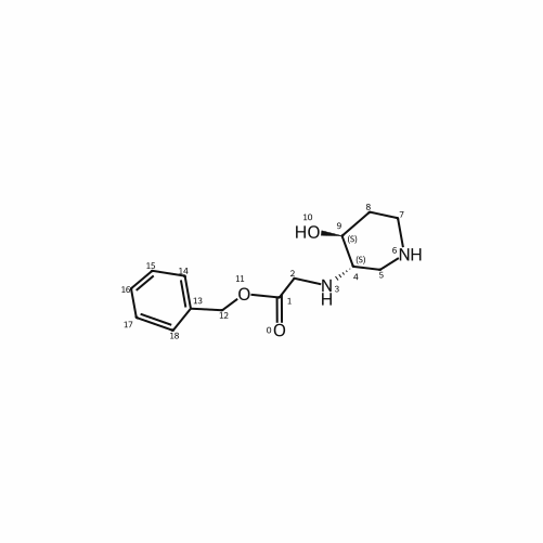 O=C(CN[C@H]1CNCC[C@@H]1O)OCc1ccccc1